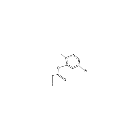 Cc1ccc(C(C)C)cc1OC(=O)CI